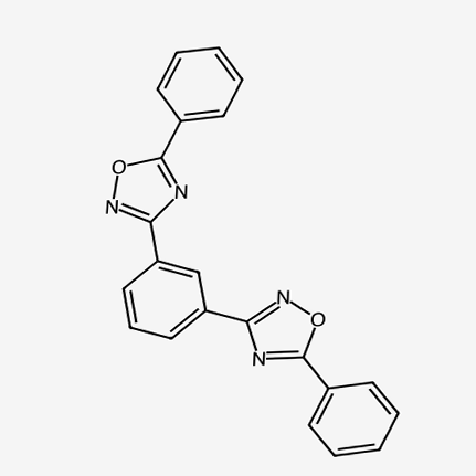 c1ccc(-c2nc(-c3cccc(-c4noc(-c5ccccc5)n4)c3)no2)cc1